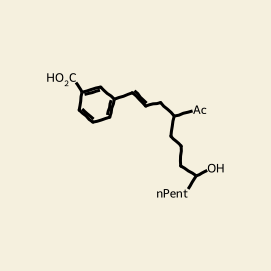 CCCCCC(O)CCCC(C/C=C/c1cccc(C(=O)O)c1)C(C)=O